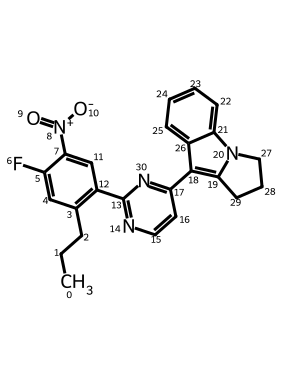 CCCc1cc(F)c([N+](=O)[O-])cc1-c1nccc(-c2c3n(c4ccccc24)CCC3)n1